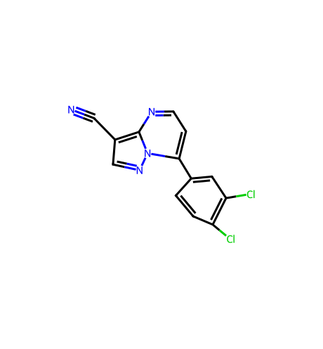 N#Cc1cnn2c(-c3ccc(Cl)c(Cl)c3)ccnc12